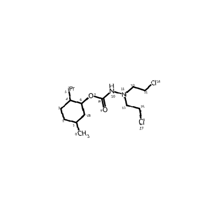 CC1CCC(C(C)C)C(OC(=O)NN(CCCl)CCCl)C1